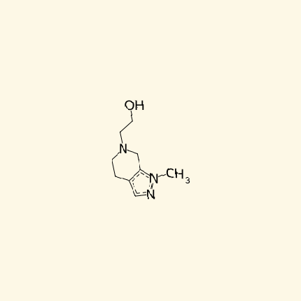 Cn1ncc2c1CN(CCO)CC2